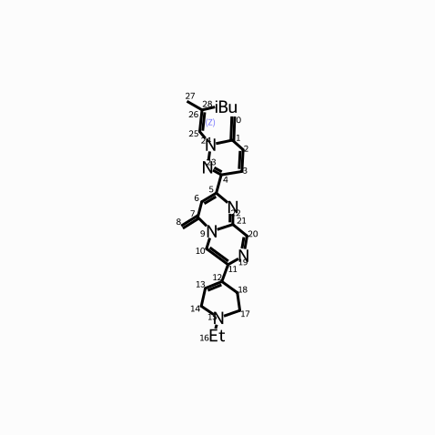 C=C1C=CC(C2=CC(=C)N3C=C(C4=CCN(CC)CC4)N=CC3=N2)=NN1/C=C(/C)C(C)CC